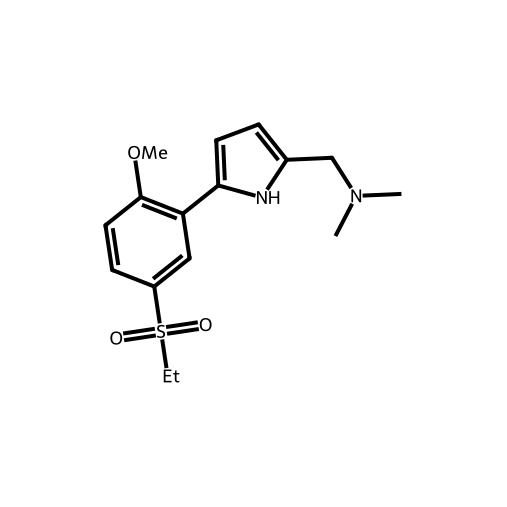 CCS(=O)(=O)c1ccc(OC)c(-c2ccc(CN(C)C)[nH]2)c1